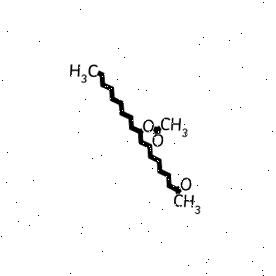 CCCCCCCCCC(CCCCCCCC(C)=O)OC(C)=O